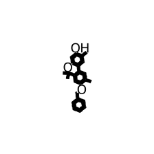 Cc1cc2c(cc1O)OC(C)(C)c1cc(OCc3ccccc3)c(C)cc1-2